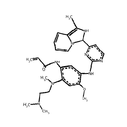 C=CC(=O)Nc1cc(Nc2nccc(C3NC(C)=C4C=CC=CN43)n2)c(OC)cc1N(C)CCN(C)C